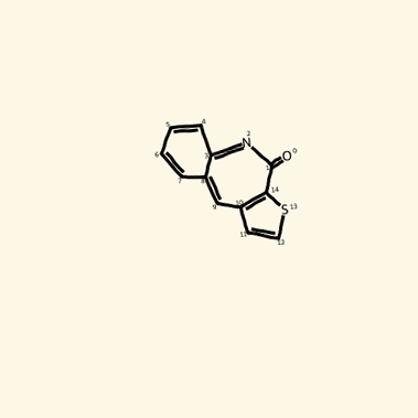 O=c1nc2ccccc2cc2ccsc12